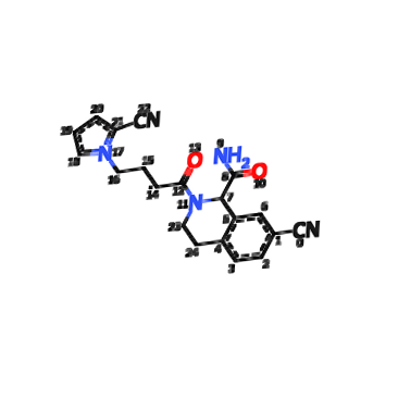 N#Cc1ccc2c(c1)C(C(N)=O)N(C(=O)[CH]CCn1cccc1C#N)CC2